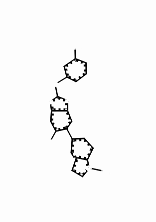 Cc1cccc(Oc2nc3cc(-c4ccc5c(ccn5C)c4)c(Cl)cc3[nH]2)c1